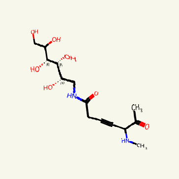 CNC(C#CCC(=O)NC[C@H](O)[C@@H](O)[C@H](O)C(O)CO)C(C)=O